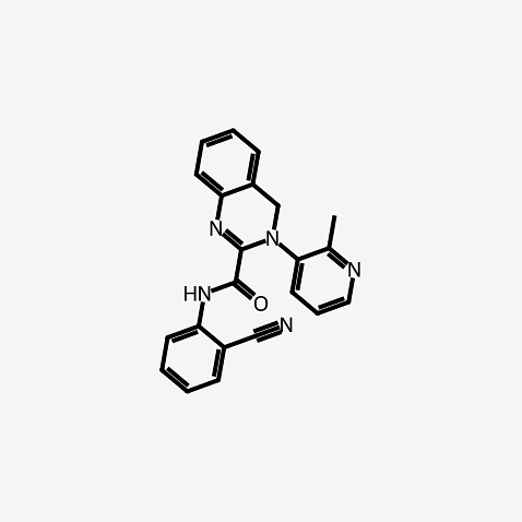 Cc1ncccc1N1Cc2ccccc2N=C1C(=O)Nc1ccccc1C#N